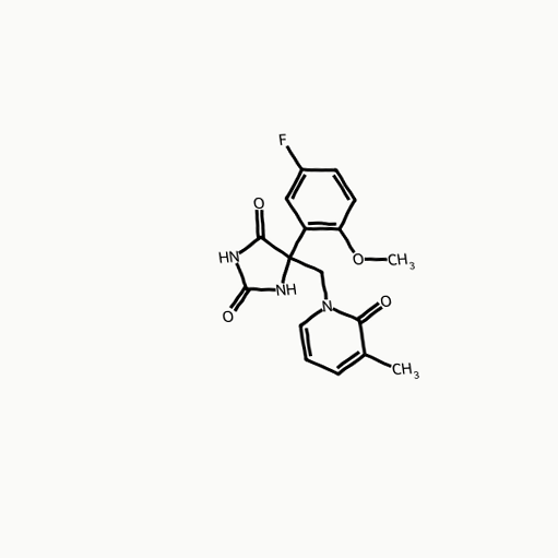 COc1ccc(F)cc1C1(Cn2cccc(C)c2=O)NC(=O)NC1=O